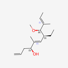 C=CC[C@H](O)/C(C)=C/[C@H](CC)[C@@H](OC)/C(C)=C/C